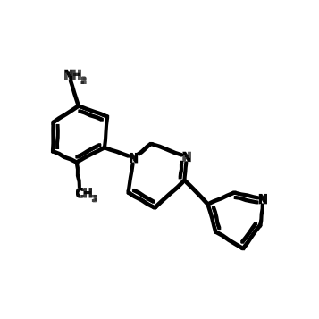 Cc1ccc(N)cc1N1C=CC(c2cccnc2)=NC1